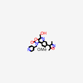 COc1cc2c(cc1-c1c(C)noc1C)nc(CO)c1oc(=O)n(Cc3ccncc3)c12